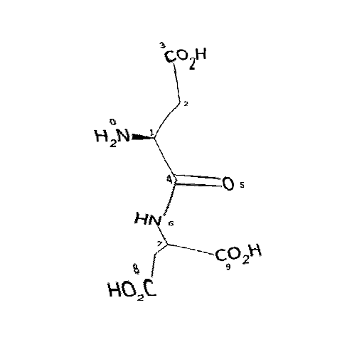 N[C@@H](CC(=O)O)C(=O)NC(C(=O)O)C(=O)O